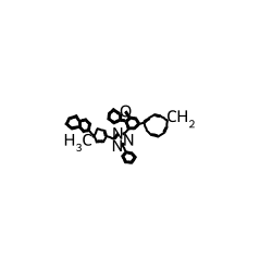 C=C1/C=C\C=C/C/C(c2cc(-c3nc(C4=CCC(C)(c5ccc6ccccc6c5)C=C4)nc(-c4ccccc4)n3)c3c(c2)oc2ccccc23)=C\C=C/1